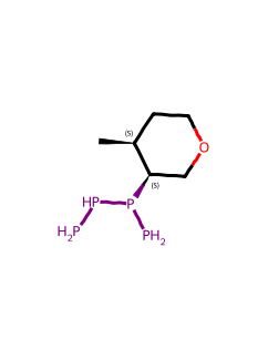 C[C@H]1CCOC[C@H]1P(P)PP